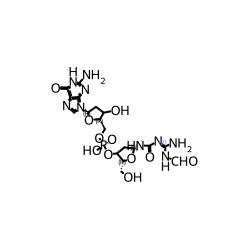 N/C(=N/C(=O)N[C@H]1CC(OP(=O)(O)OC[C@H]2O[C@@H](n3cnc4c(=O)[nH]c(N)nc43)CC2O)[C@@H](CO)O1)NC=O